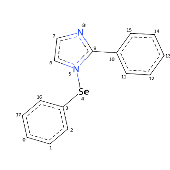 c1ccc([Se]n2ccnc2-c2ccccc2)cc1